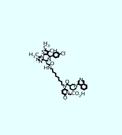 Cc1sc2c(c1C)C(c1ccc(Cl)cc1)=N[C@@H](CC(=O)NCCCCCCCCN(C(=O)C1CCCN(c3cncc4ccccc34)C1)c1ccc(=O)n(CC(=O)O)c1)c1nnc(C)n1-2